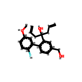 C=CCC(O)(CC=C)c1cc(CO)ccc1-c1cc(OC)ccc1F